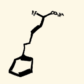 O=C(O)C(C=CCCc1ccccc1)C(F)(F)F